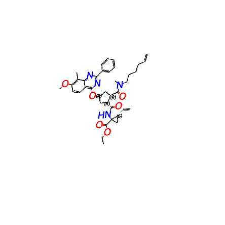 C=CCCCCN(C)C(=O)[C@@H]1C[C@H](Oc2nc(-c3ccccc3)nc3c(C)c(OC)ccc23)C[C@H]1C(=O)NC1(C(=O)OCC)C[C@H]1C=C